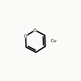 C1=COOC=C1.[Cu]